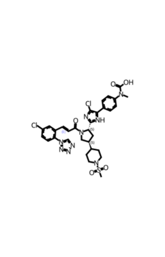 CN(C(=O)O)c1ccc(-c2[nH]c([C@@H]3C[C@@H](C4CCN(S(C)(=O)=O)CC4)CN3C(=O)/C=C/c3cc(Cl)ccc3-n3cnnn3)nc2Cl)cc1